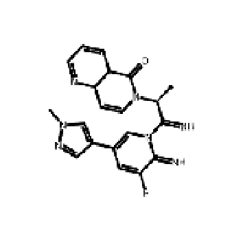 C[C@@H](C(=N)n1cc(-c2cnn(C)c2)cc(F)c1=N)N1C=CC2N=CC=CC2C1=O